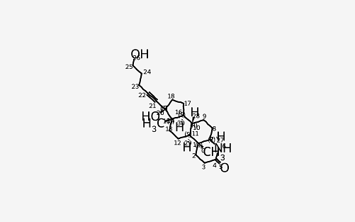 C[C@]12CCC(=O)N[C@@H]1CC[C@@H]1[C@@H]2CC[C@@]2(C)[C@H]1CC[C@@]2(O)C#CCCCO